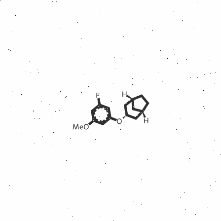 COc1cc(F)cc(O[C@@H]2C[C@@H]3CC[C@@H](C3)C2)c1